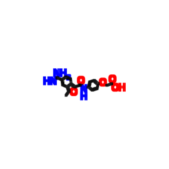 Cc1oc(C(=O)Nc2ccc(OCC(=O)O)cc2)c2ccc(C(=N)N)cc12